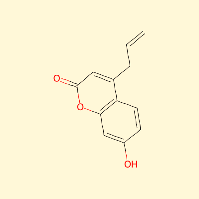 C=CCc1cc(=O)oc2cc(O)ccc12